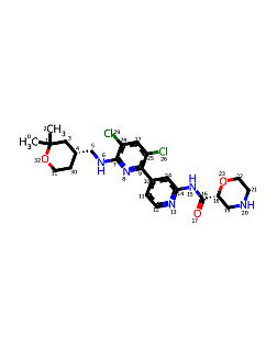 CC1(C)C[C@H](CNc2nc(-c3ccnc(NC(=O)[C@H]4CNCCO4)c3)c(Cl)cc2Cl)CCO1